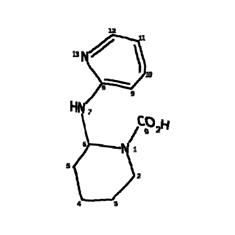 O=C(O)N1CCCCC1Nc1ccccn1